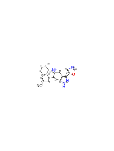 C[C@H]1CCc2cc(C#N)ccc2[C@H]1Nc1ccc2[nH]nc(-c3cnco3)c2c1